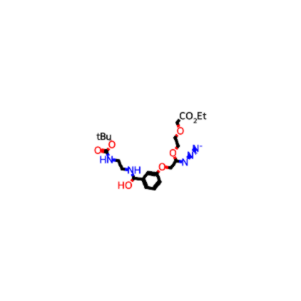 CCOC(=O)COCCOC(COc1cccc(C(O)NCCNC(=O)OC(C)(C)C)c1)N=[N+]=[N-]